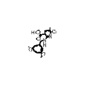 COc1cc(CNc2nc(Cl)c(C)cc2C(=O)O)cc(OC)c1